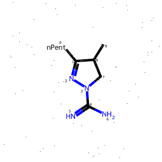 CCCCCC1=NN(C(=N)N)CC1C